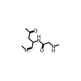 C/N=C\C(CC(C)=O)NC(=O)CNC